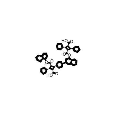 O=C(O)[C@H]1[C@@H](c2ccccc2)[C@H](C(=O)Oc2cccc3ccccc23)[C@@H]1c1ccc(-c2cc(OC(=O)[C@H]3[C@H](c4ccccc4)[C@H](C(=O)O)[C@H]3c3ccccc3)c3ccccc3c2)cc1